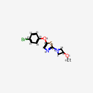 CCOC1CN(c2ncc(Oc3ccc(Br)cc3)s2)C1